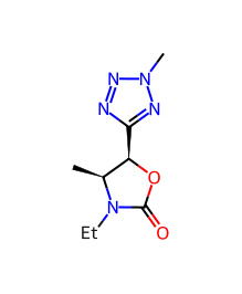 CCN1C(=O)O[C@H](c2nnn(C)n2)[C@@H]1C